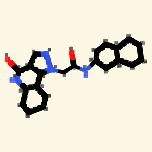 O=C(Cn1ncc2c(=O)[nH]c3ccccc3c21)Nc1ccc2ccccc2c1